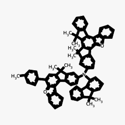 Cc1ccc(-c2cc3c(c4c2oc2ccccc24)-c2ccc(N(c4ccc5c(c4)C(C)(C)c4c6c(c7c(oc8ccccc87)c4-5)-c4ccccc4C6(C)C)c4cccc5c4-c4ccccc4C5(C)C)cc2C3(C)C)cc1